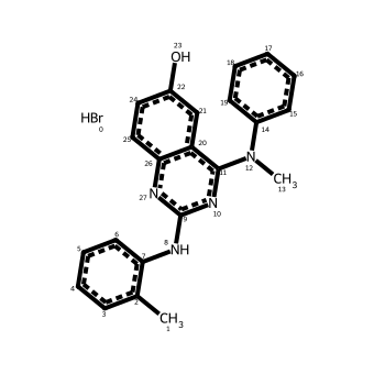 Br.Cc1ccccc1Nc1nc(N(C)c2ccccc2)c2cc(O)ccc2n1